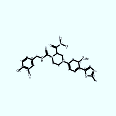 CCN(CC)C(=O)C1CN(C2=CC=C(c3cnc(C)o3)C(OC)C2)CCN1C(=O)NCc1ccc(Cl)c(Cl)c1